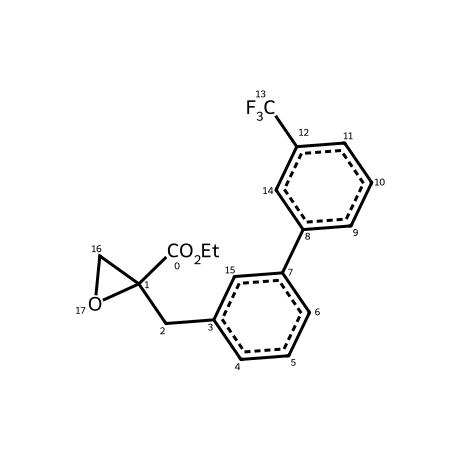 CCOC(=O)C1(Cc2cccc(-c3cccc(C(F)(F)F)c3)c2)CO1